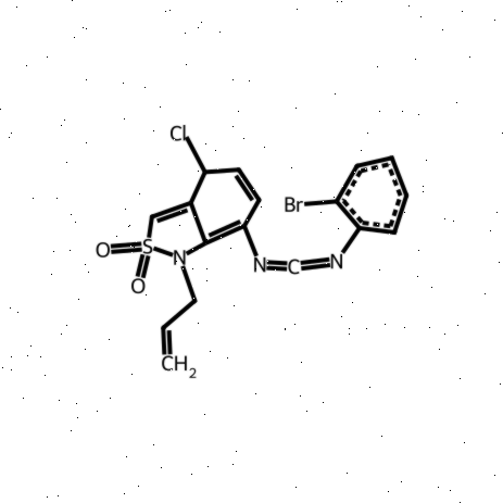 C=CCN1C2=C(N=C=Nc3ccccc3Br)C=CC(Cl)C2=CS1(=O)=O